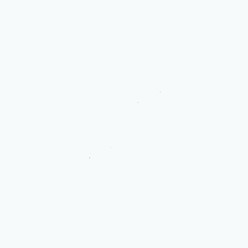 C[SiH](C)O[SiH2]c1ccc([SiH2]O[SiH](C)C)cc1